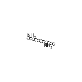 Nc1cccc2cc3cc4cc5cc6cc7cc8c(N)c9cc%10cc%11ccccc%11cc%10cc9cc8cc7cc6cc5cc4cc3cc12